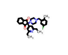 CCc1cc(C2(N3CCN(Cc4cc(F)ccc4C)CC3)C(=O)c3ccccc3C2=O)cc(CC)n1